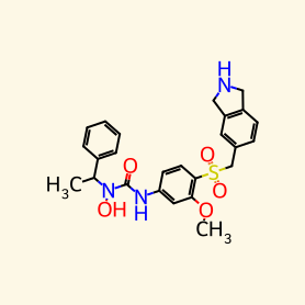 COc1cc(NC(=O)N(O)C(C)c2ccccc2)ccc1S(=O)(=O)Cc1ccc2c(c1)CNC2